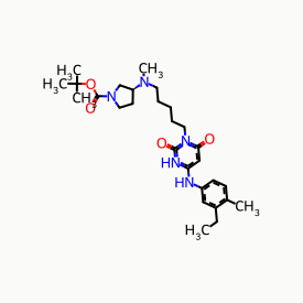 CCc1cc(Nc2cc(=O)n(CCCCCN(C)[C@H]3CCN(C(=O)OC(C)(C)C)C3)c(=O)[nH]2)ccc1C